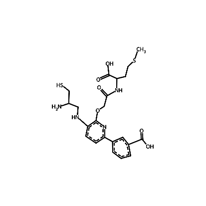 CSCCC(NC(=O)COc1nc(-c2cccc(C(=O)O)c2)ccc1NCC(N)CS)C(=O)O